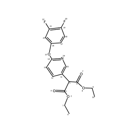 CCOC(=O)C(C(=O)OCC)c1ccc(Oc2ccc(F)c(F)c2)nc1